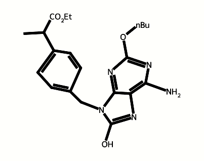 CCCCOc1nc(N)c2nc(O)n(Cc3ccc(C(C)C(=O)OCC)cc3)c2n1